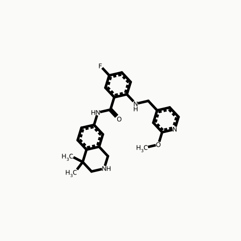 COc1cc(CNc2ccc(F)cc2C(=O)Nc2ccc3c(c2)CNCC3(C)C)ccn1